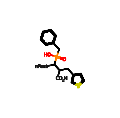 CCCCCC(C(Cc1ccsc1)C(=O)O)P(=O)(O)Cc1ccccc1